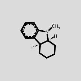 CN1c2ccccc2[C@@H]2CCCC[C@@H]21